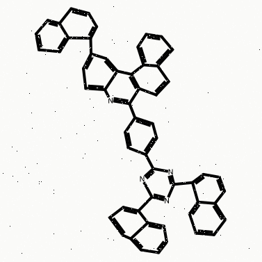 c1ccc2c(-c3ccc4nc(-c5ccc(-c6nc(-c7cccc8ccccc78)nc(-c7cccc8ccccc78)n6)cc5)c5ccc6ccccc6c5c4c3)cccc2c1